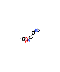 Cc1ccc(OC(=O)N(C)[C@H]2CC[C@H](c3ccc(CN4CCCCC4)cc3)CC2)cc1